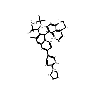 Cc1cc2cc(-c3cnc(N4CCCC4)nc3)ccc2c(-c2ccc3c4c(ccnc24)CCO3)c1C(OC(C)(C)C)C(=O)O